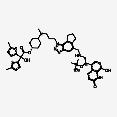 Cc1ccc(C(O)(C(=O)O[C@H]2CC[C@H](N(C)CCCn3nnc4cc(CNC[C@H](O[Si](C)(C)C(C)(C)C)c5ccc(O)c6[nH]c(=O)ccc56)c5c(c43)CCC5)CC2)c2ccc(C)s2)s1